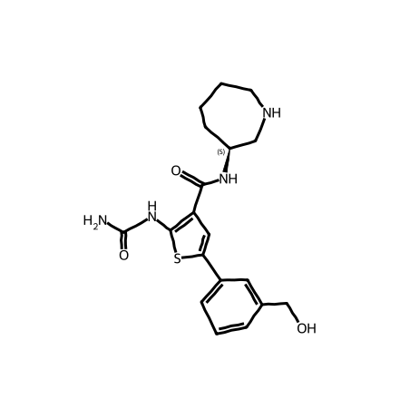 NC(=O)Nc1sc(-c2cccc(CO)c2)cc1C(=O)N[C@H]1CCCCNC1